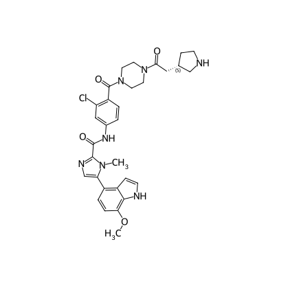 COc1ccc(-c2cnc(C(=O)Nc3ccc(C(=O)N4CCN(C(=O)C[C@@H]5CCNC5)CC4)c(Cl)c3)n2C)c2cc[nH]c12